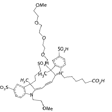 COCCOCCOCCOCCC1(C)C(/C=C/C=C2/N(CCOC)c3ccc(S(=O)(=O)O)cc3C2(C)CCCS(=O)(=O)O)=[N+](CCCCCC(=O)O)c2ccc(S(=O)(=O)O)cc21